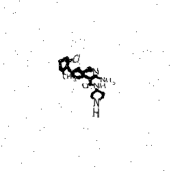 Cc1cccc(Cl)c1-c1ccc2c(C(=O)NC3CCNCC3)c(N)ncc2c1